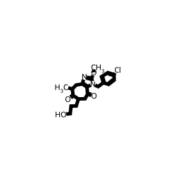 COc1nc2c(n1Cc1ccc(Cl)cc1)C(=O)CC(CCCO)C(=O)C(C)C2